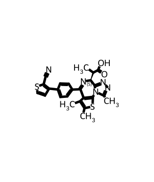 Cc1sc2c(c1C)C(c1ccc(-c3ccsc3C#N)cc1)=N[C@@H](C(C)C(=O)O)c1nnc(C)n1-2